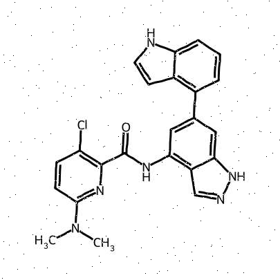 CN(C)c1ccc(Cl)c(C(=O)Nc2cc(-c3cccc4[nH]ccc34)cc3[nH]ncc23)n1